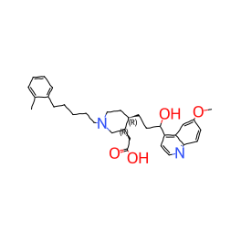 COc1ccc2nccc(C(O)CC[C@@H]3CCN(CCCCCc4ccccc4C)C[C@@H]3CC(=O)O)c2c1